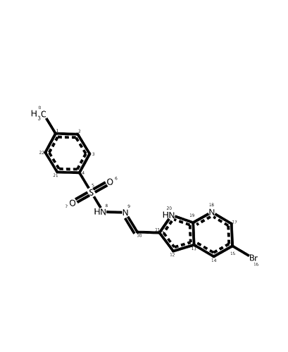 Cc1ccc(S(=O)(=O)NN=Cc2cc3cc(Br)cnc3[nH]2)cc1